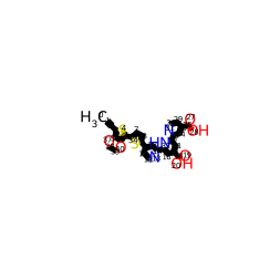 CC#Cc1sc(-c2ccc(-c3ccnc(C4=CC(C(=O)O)=CC(c5cc(C(=O)O)ccn5)N4)c3)s2)c2c1OCCO2